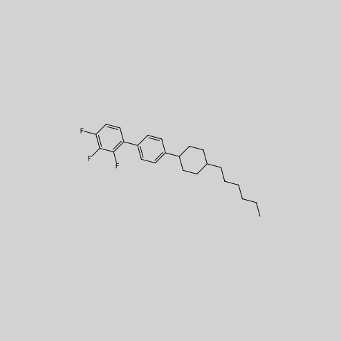 CCCCCCC1CCC(c2ccc(-c3ccc(F)c(F)c3F)cc2)CC1